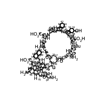 C[C@H](N)C(=O)N[C@@H](CSCC(=O)N1CCN2CCN(CC1)C(=O)CSC[C@@H](C(N)=O)NC(=O)[C@H](C(C)(C)C)NC(=O)C(CC(=O)O)NC(=O)[C@H](Cc1ccc(O)cc1)NC(=O)[C@H](Cc1ccccc1)NC(=O)[C@H](CC(=O)O)NC(=O)[C@H](CCC(=O)O)NC(=O)[C@H](N)CSCC2=O)C(=O)N[C@H](C)C(=O)N[C@@H](CC(N)=O)C(=O)N[C@@H](CCC(=O)O)C(=O)N[C@@H](Cc1cccc2ccccc12)C(=O)N[C@@]1(C)CC1=O